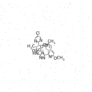 COc1cccc(-c2nnc(NS(=O)(=O)C(C)C(OC)c3ncc(Cl)cn3)n2C[C@H]2CCC[C@H](C)O2)n1